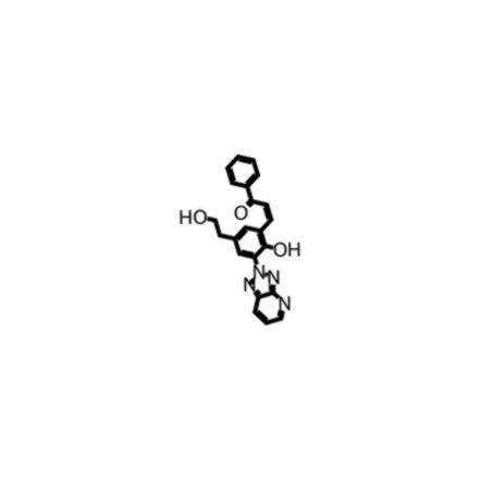 O=C(/C=C\c1cc(CCO)cc(-n2nc3cccnc3n2)c1O)c1ccccc1